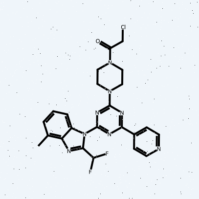 Cc1cccc2c1nc(C(F)F)n2-c1nc(-c2ccncc2)nc(N2CCN(C(=O)CCl)CC2)n1